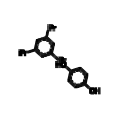 CC(C)c1cc(C(C)C)cc(C(C)C)c1.Oc1ccc(O)cc1